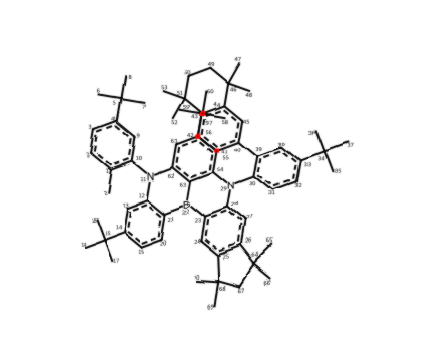 Cc1ccc(C(C)(C)C)cc1N1c2cc(C(C)(C)C)ccc2B2c3cc4c(cc3N(c3ccc(C(C)(C)C)cc3-c3ccc5c(c3)C(C)(C)CCC5(C)C)c3cc(C(C)(C)C)cc1c32)C(C)(C)CC4(C)C